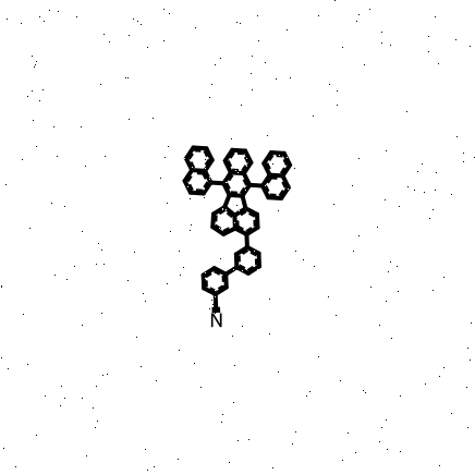 N#Cc1cccc(-c2cccc(-c3ccc4c5c(cccc35)-c3c-4c(-c4cccc5ccccc45)c4ccccc4c3-c3cccc4ccccc34)c2)c1